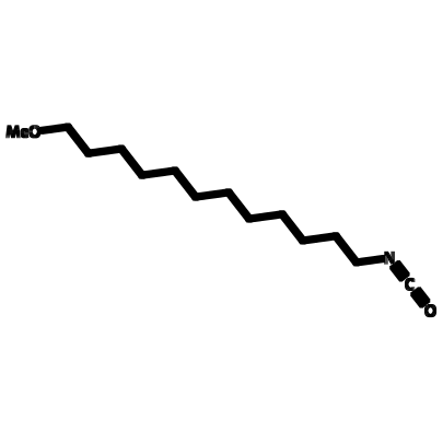 COCCCCCCCCCCCCN=C=O